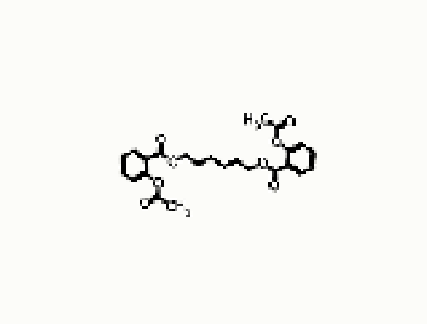 CC(=O)Oc1ccccc1C(=O)OCCCCCCOC(=O)c1ccccc1OC(C)=O